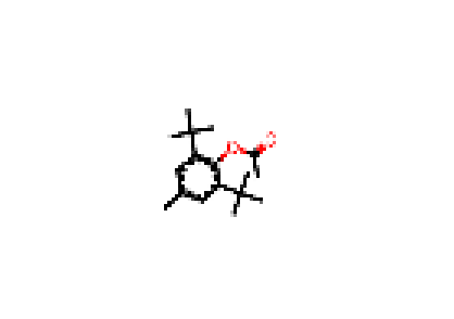 CC(=O)Oc1c(C(C)(C)C)cc(C)cc1C(C)(C)C